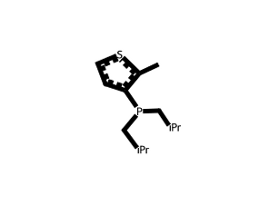 Cc1sccc1P(CC(C)C)CC(C)C